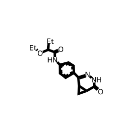 CCOC(CC)C(=O)Nc1ccc(C2=NNC(=O)C3CC23)cc1